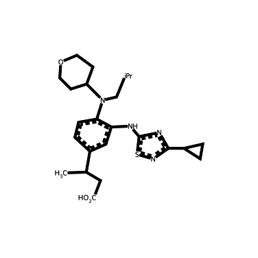 CC(C)CN(c1ccc(C(C)CC(=O)O)cc1Nc1nc(C2CC2)ns1)C1CCOCC1